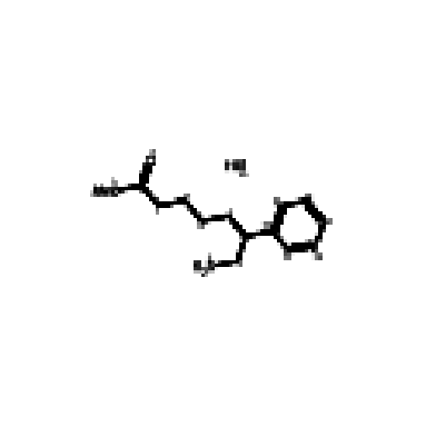 COC(=O)CCCCC(CN)c1cccnc1.Cl